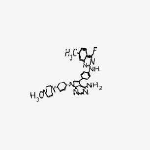 Cc1ccc2c(F)nc(Nc3ccc(-c4cn([C@H]5CC[C@@H](N6CCN(C)CC6)CC5)c5ncnc(N)c45)cc3)nc2c1